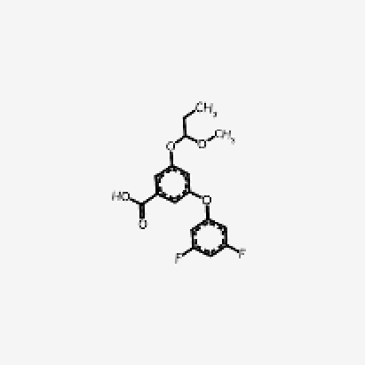 CCC(OC)Oc1cc(Oc2cc(F)cc(F)c2)cc(C(=O)O)c1